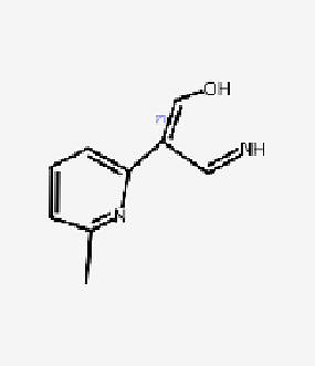 Cc1cccc(/C(C=N)=C/O)n1